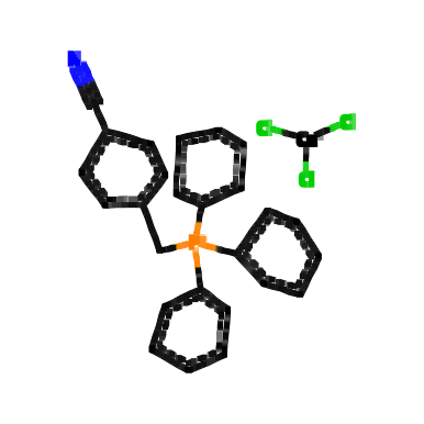 N#Cc1ccc(C[P+](c2ccccc2)(c2ccccc2)c2ccccc2)cc1.[Cl][Cu-]([Cl])[Cl]